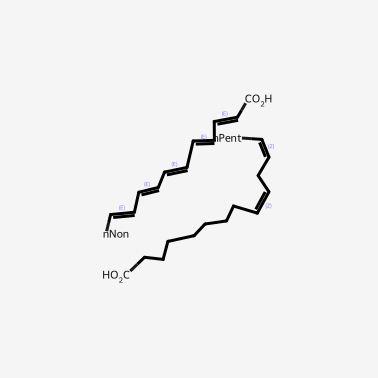 CCCCC/C=C\C/C=C\CCCCCCCC(=O)O.CCCCCCCCC/C=C/C=C/C=C/C=C/C=C/C(=O)O